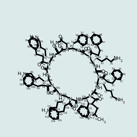 CC(C)CCC(=O)N1C(=O)N[C@@H](CCCCN)N(C(=O)CCc2ccccc2)C(=O)N[C@@H](CCCCN)N(C(=O)CCc2ccccc2)C(=O)N[C@@H](Cc2ccccc2)N(CC(N)=O)C(=O)C(=O)N[C@@H](CCCCN)N(C(=O)CCc2ccccc2)C(=O)N[C@@H](CCCCN)N(C(=O)CCc2ccccc2)C(=O)N[C@@H](CCCCN)N(C(=O)CCc2ccccc2)C(=O)N[C@@H]1Cc1ccccc1